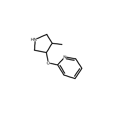 CC1CNCC1Oc1ccccn1